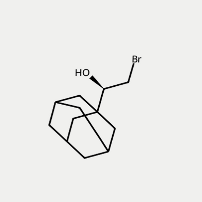 O[C@@H](CBr)C12CC3CC(CC(C3)C1)C2